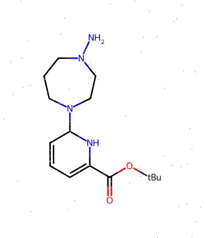 CC(C)(C)OC(=O)C1=CC=CC(N2CCCN(N)CC2)N1